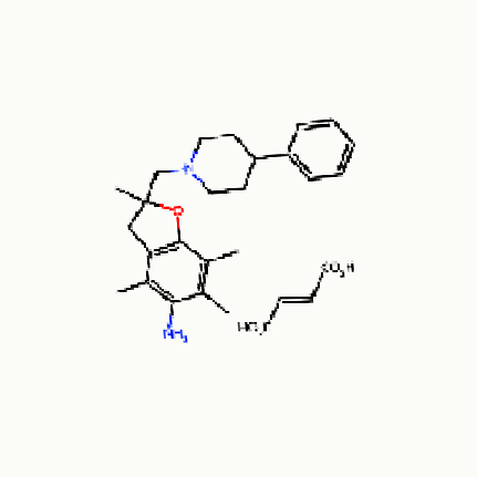 Cc1c(C)c2c(c(C)c1N)CC(C)(CN1CCC(c3ccccc3)CC1)O2.O=C(O)C=CC(=O)O